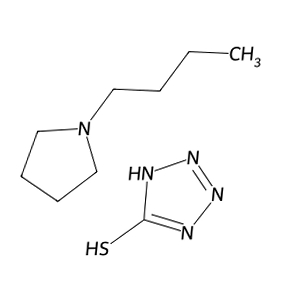 CCCCN1CCCC1.Sc1nnn[nH]1